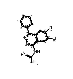 N=C(N)Nc1nnc(-c2ccccc2)c2cc(Cl)c(Cl)cc12